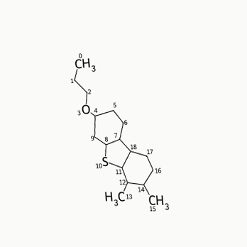 CCCOC1CCC2C(C1)SC1C(C)C(C)CCC21